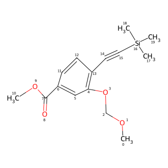 COCOc1cc(C(=O)OC)ccc1C#C[Si](C)(C)C